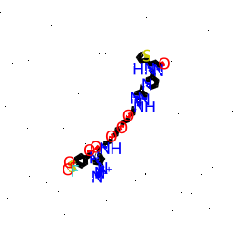 [N-]=[N+]=NC1C[C@@H](C(=O)NCCOCCOCCOCCNc2ncc(CN3CCCC(c4nc(=O)cc(-c5cccs5)[nH]4)C3)cn2)N(C(=O)c2ccc(S(=O)(=O)F)cc2)C1